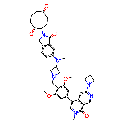 COc1cc(-c2cn(C)c(=O)c3cnc(N4CCC4)cc23)cc(OC)c1CN1CC(N(C)c2ccc3c(c2)C(=O)N(C2CCC(=O)CCCC2=O)C3)C1